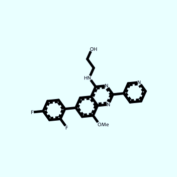 COc1cc(-c2ccc(F)cc2F)cc2c(NCCO)nc(-c3cccnc3)nc12